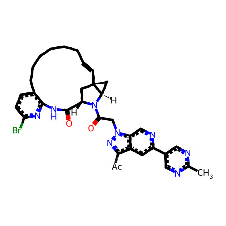 CC(=O)c1nn(CC(=O)N2[C@H]3C[C@@]4(/C=C/CCCCCCc5ccc(Br)nc5NC3=O)C[C@@H]24)c2cnc(-c3cnc(C)nc3)cc12